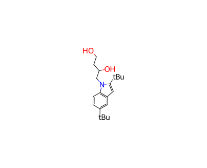 CC(C)(C)c1ccc2c(c1)cc(C(C)(C)C)n2CC(O)CCO